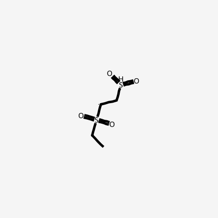 CCS(=O)(=O)[CH]C[SH](=O)=O